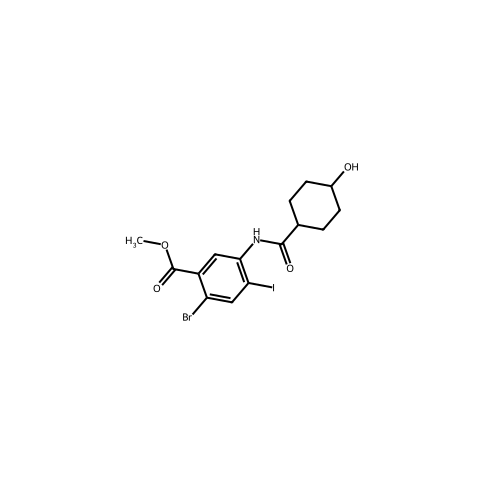 COC(=O)c1cc(NC(=O)C2CCC(O)CC2)c(I)cc1Br